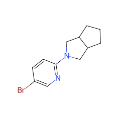 Brc1ccc(N2CC3CCCC3C2)nc1